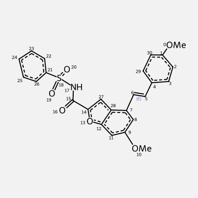 COc1ccc(/C=C/c2cc(OC)cc3oc(C(=O)NS(=O)(=O)c4ccccc4)cc23)cc1